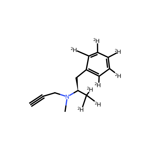 [2H]c1c([2H])c([2H])c(C[C@H](N(C)CC#C)C([2H])([2H])[2H])c([2H])c1[2H]